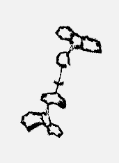 C=C(/C=C\C(=C/C)n1c2ccccc2c2ccccc21)C(C)(C)c1ccc(-n2c3ccccc3c3ccccc32)cc1